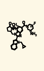 COc1cc(C(=O)N2C[C@H](N)C[C@@H](F)C2)cc2nc(-c3cc4ccccc4n3CC3CC3)n(CC3CCC(=O)N3)c12